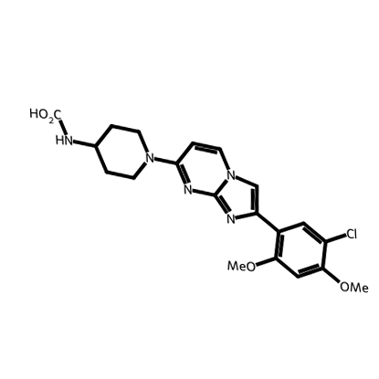 COc1cc(OC)c(-c2cn3ccc(N4CCC(NC(=O)O)CC4)nc3n2)cc1Cl